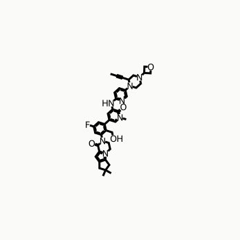 CC#CC1CN(C2COC2)CCN1c1ccc(Nc2cc(-c3cc(F)cc(N4CCn5c(cc6c5CC(C)(C)C6)C4=O)c3CO)cn(C)c2=O)nc1